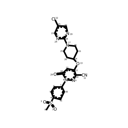 CS(=O)(=O)c1ccc(-n2nc(C#N)c(OC3CCN(c4ncc(Cl)cn4)CC3)cc2=O)cc1